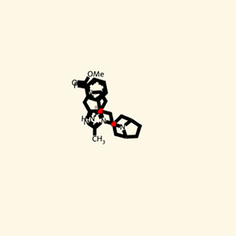 COC(=O)N1CCc2c(nc(C)n2C2CC3CCC(C2)N3CC[C@H](N)c2cccc(F)c2)C1